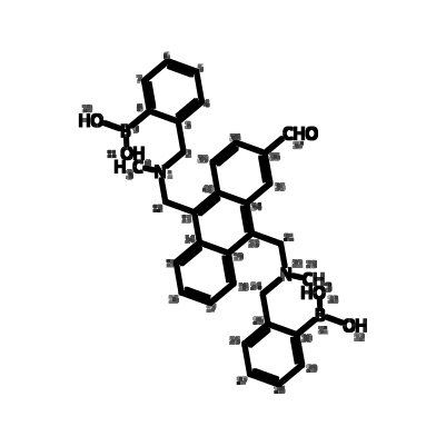 CN(Cc1ccccc1B(O)O)Cc1c2ccccc2c(CN(C)Cc2ccccc2B(O)O)c2cc(C=O)ccc12